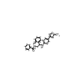 O=C(NCC(Nc1ncc(-c2noc(C(F)(F)F)n2)cn1)c1ccccc1F)c1ccccc1